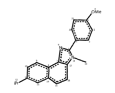 COc1ccc(-c2nc3c4ccc(C(C)C)cc4ccc3n2C)cc1